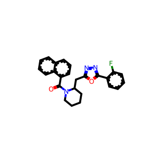 O=C(c1cccc2ccccc12)N1CCCCC1Cc1nnc(-c2ccccc2F)o1